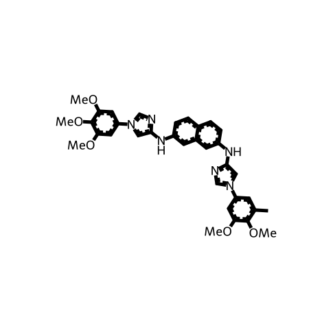 COc1cc(-n2cnc(Nc3ccc4ccc(Nc5cn(-c6cc(OC)c(OC)c(OC)c6)cn5)cc4c3)c2)cc(C)c1OC